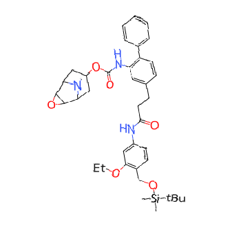 CCOc1cc(NC(=O)CCc2ccc(-c3ccccc3)c(NC(=O)OC3CC4C5OC5C(C3)N4C)c2)ccc1CO[Si](C)(C)C(C)(C)C